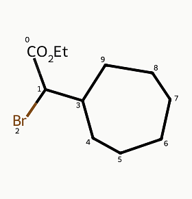 CCOC(=O)C(Br)C1CCCCCC1